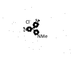 CNc1ccc([C+](c2ccc(N(C)C)cc2)c2ccc(N(C)C)cc2)cc1.[Cl-]